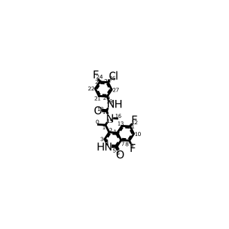 CC(c1c[nH]c(=O)c2c(F)cc(F)cc12)N(C)C(=O)Nc1ccc(F)c(Cl)c1